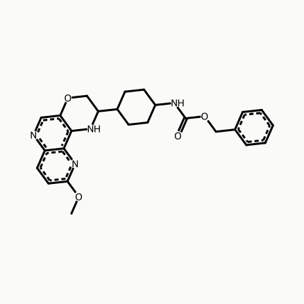 COc1ccc2ncc3c(c2n1)NC(C1CCC(NC(=O)OCc2ccccc2)CC1)CO3